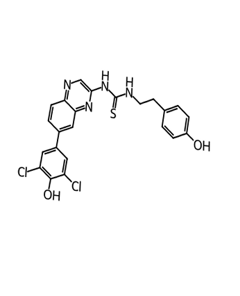 Oc1ccc(CCNC(=S)Nc2cnc3ccc(-c4cc(Cl)c(O)c(Cl)c4)cc3n2)cc1